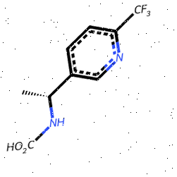 C[C@@H](NC(=O)O)c1ccc(C(F)(F)F)nc1